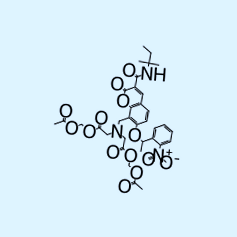 CCC(C)(C)NC(=O)c1cc2ccc(OC(C)c3ccccc3[N+](=O)[O-])c(CN(CC(=O)OCOC(C)=O)CC(=O)OCOC(C)=O)c2oc1=O